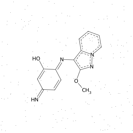 COc1nn2ccccc2c1/N=C1\C=CC(=N)C=C1O